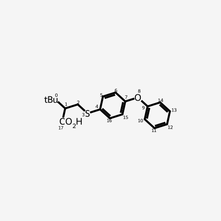 CC(C)(C)C(CSc1ccc(Oc2ccccc2)cc1)C(=O)O